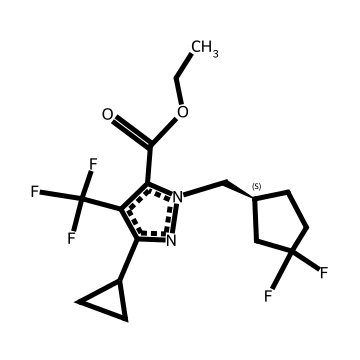 CCOC(=O)c1c(C(F)(F)F)c(C2CC2)nn1C[C@H]1CCC(F)(F)C1